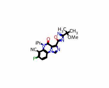 COC(C)(C)c1noc(-c2ncn3c2c(=O)n(C(C)C)c2c(C#N)c(F)ccc23)n1